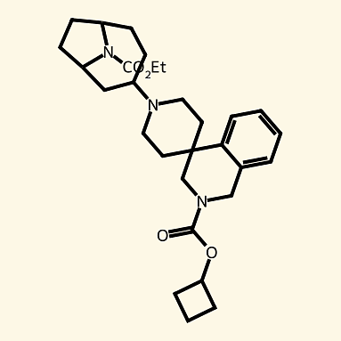 CCOC(=O)N1C2CCC(N3CCC4(CC3)CN(C(=O)OC3CCC3)Cc3ccccc34)CC1CC2